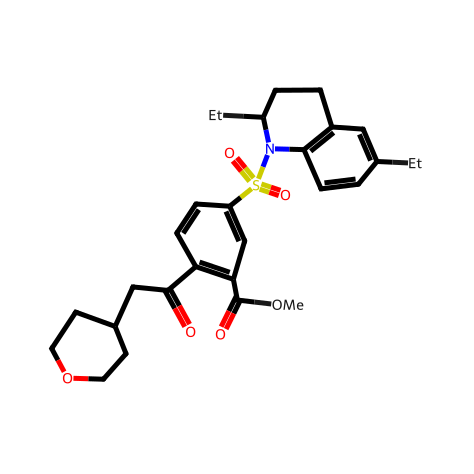 CCc1ccc2c(c1)CCC(CC)N2S(=O)(=O)c1ccc(C(=O)CC2CCOCC2)c(C(=O)OC)c1